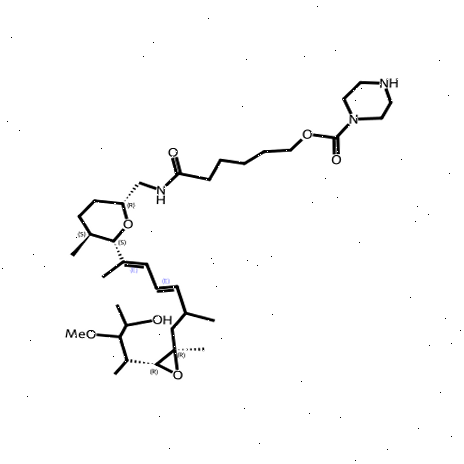 COC(C(C)O)C(C)[C@H]1O[C@]1(C)CC(C)/C=C/C=C(\C)[C@H]1O[C@@H](CNC(=O)CCCCCOC(=O)N2CCNCC2)CC[C@@H]1C